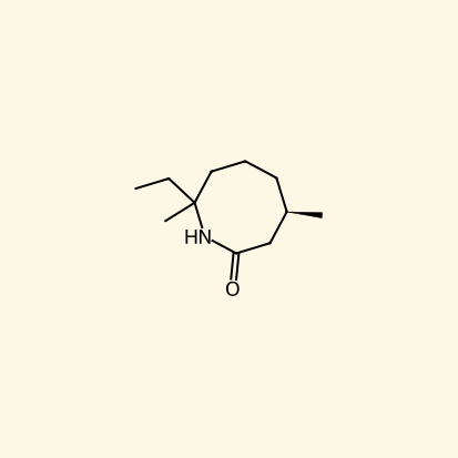 CCC1(C)CCC[C@@H](C)CC(=O)N1